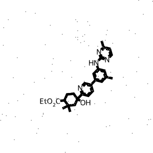 CCOC(=O)C1CCC(O)(c2ccc(-c3cc(C)cc(Nc4nccc(C)n4)c3)cn2)CC1(C)C